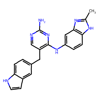 Cc1nc2cc(Nc3nc(N)ncc3Cc3ccc4[nH]ccc4c3)ccc2[nH]1